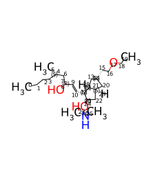 CCCC[C@H](C)C[C@@H](O)C=C[C@@H]1[C@H]2C[C@H](CCOCC)C[C@H]2C[C@H]1O.CNC